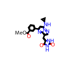 COC(=O)c1cccc(-c2cc(NC3CC3)n3ncc(C=C4NC(=O)NC4=O)c3n2)c1